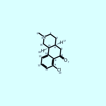 CN1CC[C@H]2CC(=O)c3c(Cl)cccc3[C@H]2C1